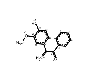 C=C(C(=O)c1ccccc1)c1ccc(O)c(OC)c1